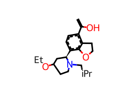 C=C(O)c1ccc([C@@H]2CC(OCC)CCN2CC(C)C)c2c1CCO2